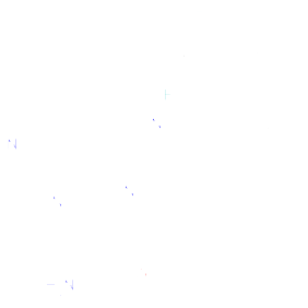 NC(=O)c1nc(NCc2ccccc2C(F)(F)F)c2cccnc2n1